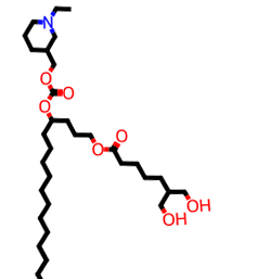 CCCCCCCCCCCCC(CCCOC(=O)CCCCC(CO)CO)OC(=O)OCC1CCCN(CC)C1